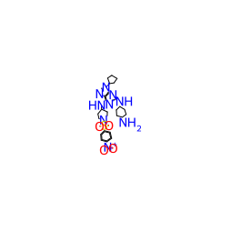 NC1CCC(Nc2nc(NC3CCN(S(=O)(=O)c4ccc([N+](=O)[O-])cc4)CC3)c3ncn(C4CCCC4)c3n2)CC1